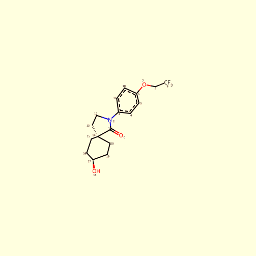 O=C1N(c2ccc(OCC(F)(F)F)cc2)CC[C@]12CC[C@H](O)CC2